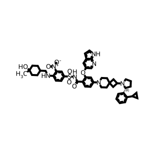 CC1(O)CCC(CNc2ccc(S(=O)(=O)NC(=O)c3ccc(N4CCC5(CC4)CC(N4CCC[C@@H]4c4ccccc4C4CC4)C5)cc3Oc3cnc4[nH]ccc4c3)cc2[N+](=O)[O-])CC1